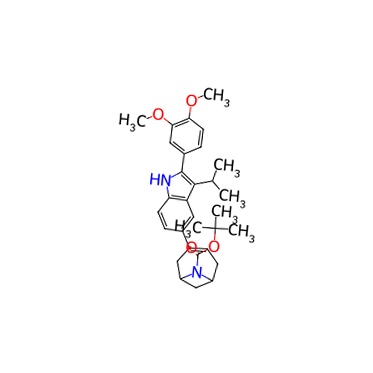 COc1ccc(-c2[nH]c3ccc(C4=CCC5CC(C4)N5C(=O)OC(C)(C)C)cc3c2C(C)C)cc1OC